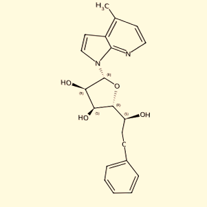 Cc1ccnc2c1ccn2[C@@H]1O[C@H]([C@@H](O)CCc2ccccc2)[C@@H](O)[C@H]1O